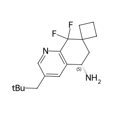 CC(C)(C)Cc1cnc2c(c1)[C@@H](N)CC1(CCC1)C2(F)F